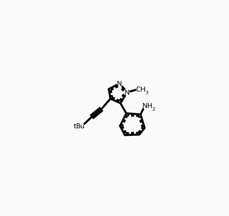 Cn1ncc(C#CC(C)(C)C)c1-c1ccccc1N